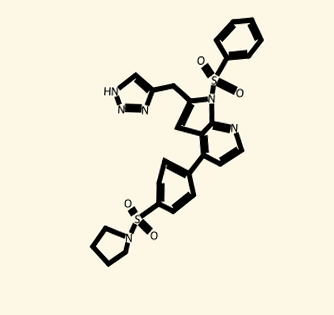 O=S(=O)(c1ccc(-c2ccnc3c2cc(Cc2c[nH]nn2)n3S(=O)(=O)c2ccccc2)cc1)N1CCCC1